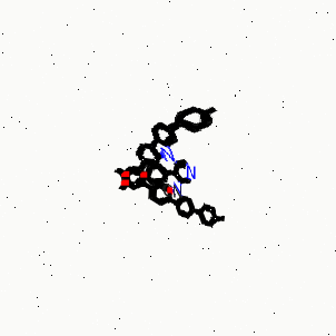 Cc1ccc(-c2ccc3c4ccc(-c5ccc(C)cc5)cc4n(-c4cncc(-n5c6cc(-c7ccc(C)cc7)ccc6c6ccc(-c7ccc(C)cc7)cc65)c4-c4ccccc4C#N)c3c2)cc1